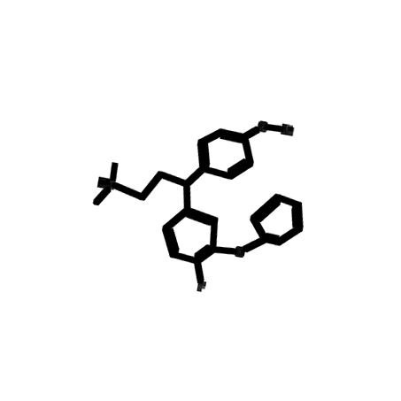 CCOc1ccc(C(CC[SiH](C)C)c2ccc(F)c(Oc3ccccc3)c2)cc1